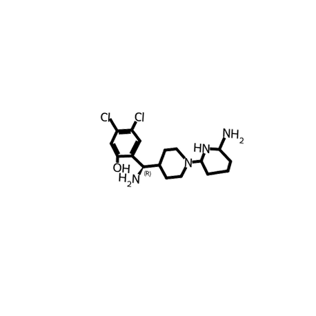 NC1CCCC(N2CCC([C@@H](N)c3cc(Cl)c(Cl)cc3O)CC2)N1